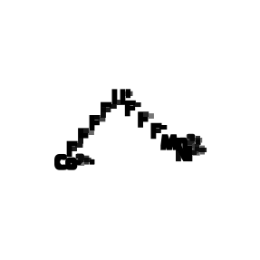 [Co+2].[F-].[F-].[F-].[F-].[F-].[F-].[F-].[Li+].[Mn+2].[Ni+2]